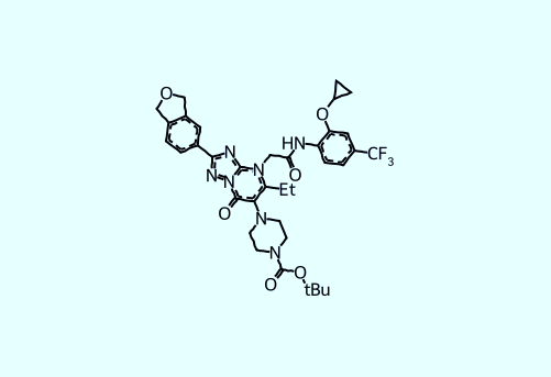 CCc1c(N2CCN(C(=O)OC(C)(C)C)CC2)c(=O)n2nc(-c3ccc4c(c3)COC4)nc2n1CC(=O)Nc1ccc(C(F)(F)F)cc1OC1CC1